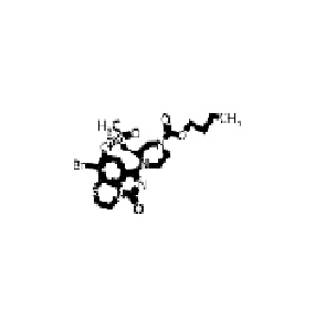 CCCCOC(=O)N1CCN(c2nc(=O)n3c4c(c(Br)c(Cl)cc24)SCC3)[C@@H](CS(C)(=O)=O)C1